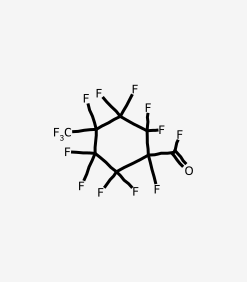 O=C(F)C1(F)C(F)(F)C(F)(F)C(F)(C(F)(F)F)C(F)(F)C1(F)F